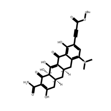 CCCCOC(=O)C#Cc1cc(N(C)C)c2c(c1O)C(=O)C1=C(O)[C@]3(O)C(=O)C(C(N)=O)=C(O)C[C@@H]3C[C@@H]1C2